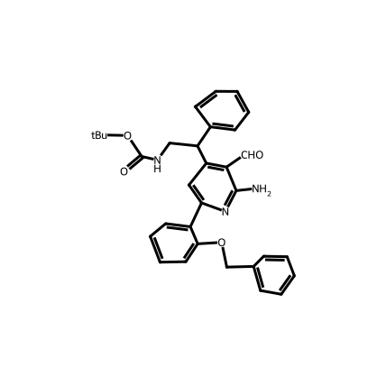 CC(C)(C)OC(=O)NCC(c1ccccc1)c1cc(-c2ccccc2OCc2ccccc2)nc(N)c1C=O